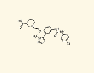 Cn1nccc1-c1cc(NC(=O)Nc2ccc(Cl)cc2)ccc1OCCN1CCCC(C(=O)O)C1